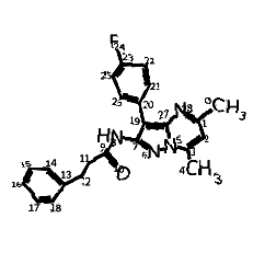 Cc1cc(C)n2nc(NC(=O)CCc3ccccc3)c(-c3ccc(F)cc3)c2n1